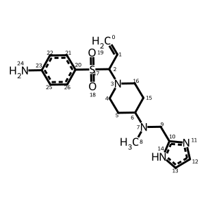 C=CC(N1CCC(N(C)Cc2ncc[nH]2)CC1)S(=O)(=O)c1ccc(N)cc1